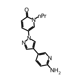 CCCn1cc(-n2cc(-c3ccc(N)nc3)cn2)ccc1=O